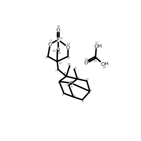 CC12CC3CC(CC(C3)C1(C)CC13COP(=O)(OC1)OC3)C2.O=C(O)O